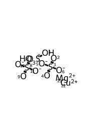 O=S(=O)(O)O.O=S(=O)([O-])[O-].O=S(=O)([O-])[O-].[Cu+2].[Mg+2]